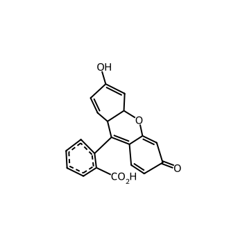 O=C1C=CC2=C(c3ccccc3C(=O)O)C3C=CC(O)=CC3OC2=C1